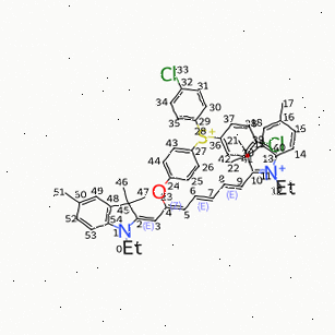 CCN1/C(=C/C(=C/C=C/C=C/C2=[N+](CC)c3ccc(C)cc3C2(C)C)Oc2ccc([S+](c3ccc(Cl)cc3)c3ccc(Cl)cc3)cc2)C(C)(C)c2cc(C)ccc21